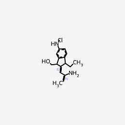 C/C=C(N)\C=C1/C(CC)c2ccc(NCl)cc2C1CO